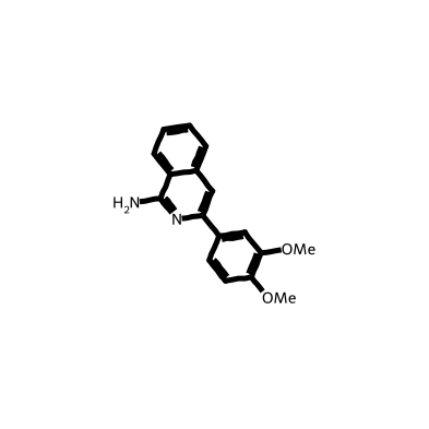 COc1ccc(-c2cc3ccccc3c(N)n2)cc1OC